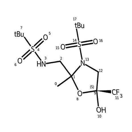 CC1(CNS(=O)(=O)C(C)(C)C)O[C@](O)(C(F)(F)F)CN1S(=O)(=O)C(C)(C)C